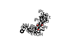 C/C=C/C[C@@H](C)[C@H](O)C(C(=O)N[C@H](CC)C(=O)N(C)CC(=O)N(C)[C@H](Cc1ccccc1)C(N)=O)N(C)C(=O)[C@@H](C(C)C)N(C)C(=O)[C@@H](CC(C)C)N(C)C(=O)[C@H](CC(C)C)N(C)C(=O)[C@H](C)NC(=O)[C@H](CC)NC(=O)[C@H](CC(C)C)N(C)C(=O)[C@H](C)C(C)C